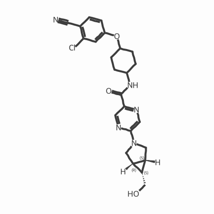 N#Cc1ccc(OC2CCC(NC(=O)c3cnc(N4C[C@@H]5[C@H](CO)[C@@H]5C4)cn3)CC2)cc1Cl